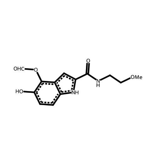 COCCNC(=O)c1cc2c(OC=O)c(O)ccc2[nH]1